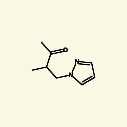 CC(=O)C(C)Cn1cccn1